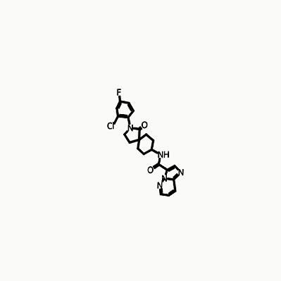 O=C(NC1CCC2(CC1)CCN(c1ccc(F)cc1Cl)C2=O)c1cnc2cccnn12